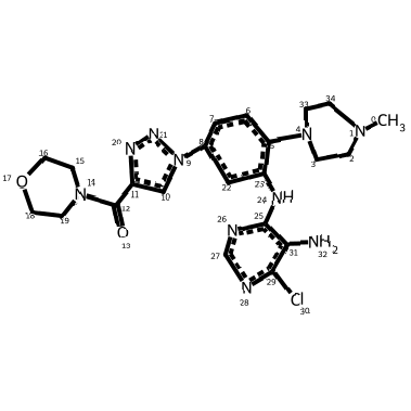 CN1CCN(c2ccc(-n3cc(C(=O)N4CCOCC4)nn3)cc2Nc2ncnc(Cl)c2N)CC1